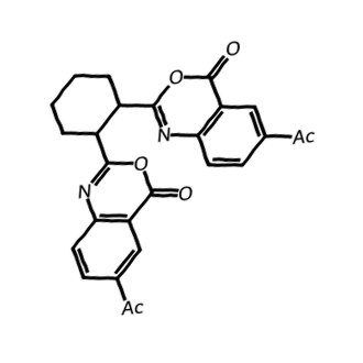 CC(=O)c1ccc2nc(C3CCCCC3c3nc4ccc(C(C)=O)cc4c(=O)o3)oc(=O)c2c1